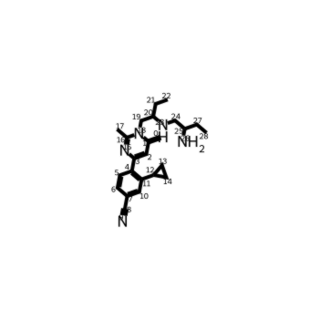 C=C1C=C(c2ccc(C#N)cc2C2CC2)N=C(C)N1CC(CC)NCC(N)CC